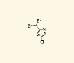 Clc1cnc(C(Br)Br)s1